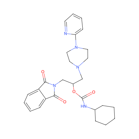 O=C(NC1CCCCC1)OC(CN1CCN(c2ccccn2)CC1)CN1C(=O)c2ccccc2C1=O